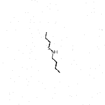 CCCCNSCCC